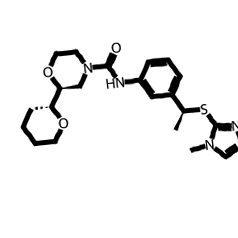 C[C@H](Sc1nncn1C)c1cccc(NC(=O)N2CCO[C@H]([C@H]3CCCCO3)C2)c1